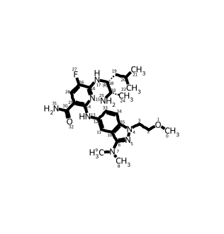 COCCn1nc(N(C)C)c2cc(Nc3nc(N[C@H](CC(C)C)[C@H](C)N)c(F)cc3C(N)=O)ccc21